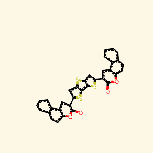 O=c1oc2ccc3ccccc3c2cc1-c1cc2sc3cc(-c4cc5c(ccc6ccccc65)oc4=O)sc3c2s1